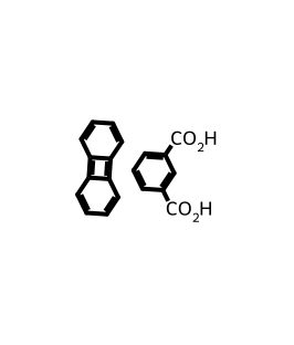 O=C(O)c1cccc(C(=O)O)c1.c1ccc2c(c1)=c1ccccc1=2